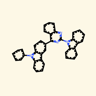 c1ccc(-n2c3ccccc3c3cc(-c4nc(-n5c6ccccc6c6ccccc65)nc5ccccc45)ccc32)cc1